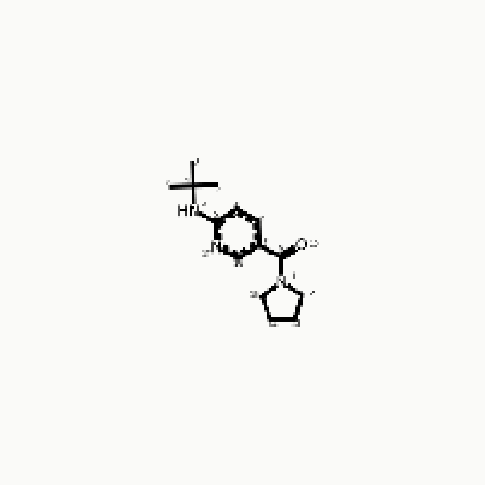 CC(C)(C)Nc1ccc(C(=O)N2CCCC2)cn1